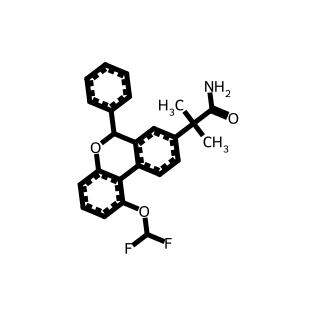 CC(C)(C(N)=O)c1ccc2c(c1)C(c1ccccc1)Oc1cccc(OC(F)F)c1-2